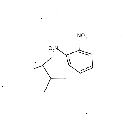 CC(C)C(C)C.O=[N+]([O-])c1ccccc1[N+](=O)[O-]